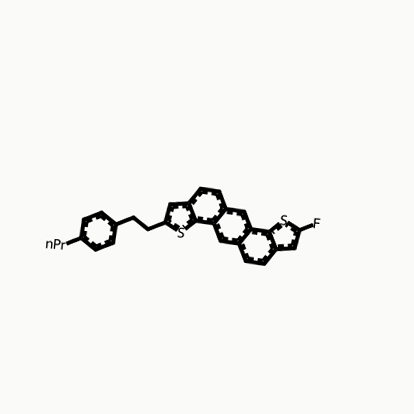 CCCc1ccc(CCc2cc3ccc4cc5c(ccc6cc(F)sc65)cc4c3s2)cc1